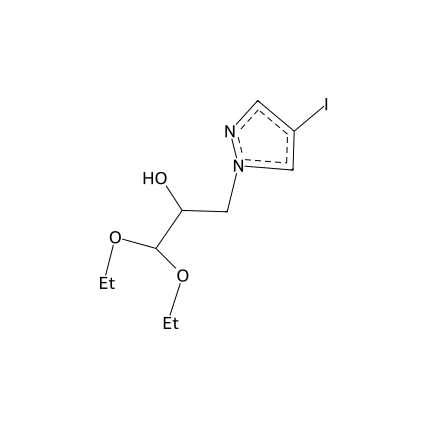 CCOC(OCC)C(O)Cn1cc(I)cn1